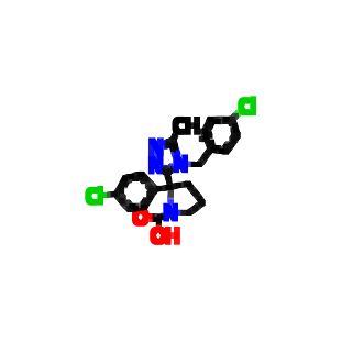 Cc1nnc(C2(c3ccc(Cl)cc3)CCCN2C(=O)O)n1Cc1ccc(Cl)cc1